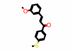 COc1cccc(/C=C/C(=O)c2ccc(SC)cc2)c1